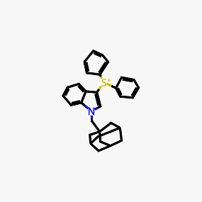 c1ccc([S+](c2ccccc2)c2cn(CC34CC5CC(CC(C5)C3)C4)c3ccccc23)cc1